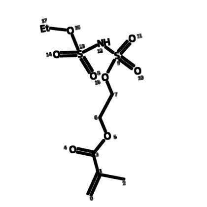 C=C(C)C(=O)OCCOS(=O)(=O)NS(=O)(=O)OCC